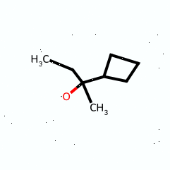 CCC(C)([O])C1CCC1